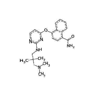 CN(C)CC(C)(C)CNc1nccc(Oc2ccc(C(N)=O)c3ccccc23)n1